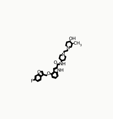 C[C@H]1CN(CCN2CCC(NC(=O)c3cc4c(OCc5coc6cc(F)ccc56)cccc4[nH]3)CC2)CC[C@@H]1O